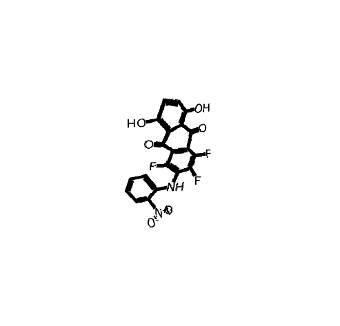 O=C1c2c(O)ccc(O)c2C(=O)c2c(F)c(Nc3ccccc3[N+](=O)[O-])c(F)c(F)c21